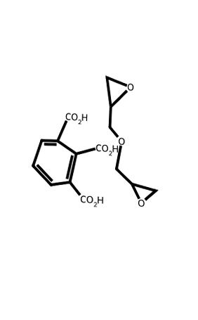 C(OCC1CO1)C1CO1.O=C(O)c1cccc(C(=O)O)c1C(=O)O